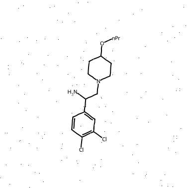 CCCOC1CCN(CC(N)c2ccc(Cl)c(Cl)c2)CC1